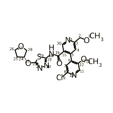 COCc1cc(-c2cc(Cl)ncc2OC)c(C(=O)Nc2nnc(O[C@@H]3CCOC3)s2)cn1